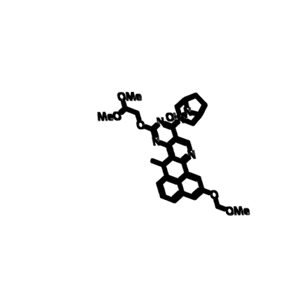 COCOc1cc2c3c(cccc3c1)C(C)c1c-2ncc2c(N3CC4CCC(C3)N4C=O)nc(OCC(OC)OC)nc12